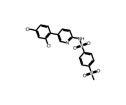 CS(=O)(=O)c1ccc(S(=O)(=O)Nc2ccc(-c3ccc(Cl)cc3Cl)cn2)cc1